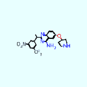 CC(c1cc([N+](=O)[O-])cc(C(F)(F)F)c1)c1nc(N)c2cc(OC3CCNCC3)ccc2n1